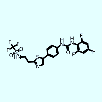 O=C(Nc1ccc(-c2cnc(CCNS(=O)(=O)C(F)(F)F)s2)cc1)Nc1c(F)cc(F)cc1F